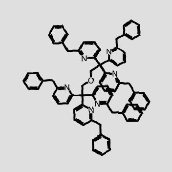 c1ccc(Cc2cccc(C(COCC(c3cccc(Cc4ccccc4)n3)(c3cccc(Cc4ccccc4)n3)c3cccc(Cc4ccccc4)n3)(c3cccc(Cc4ccccc4)n3)c3cccc(Cc4ccccc4)n3)n2)cc1